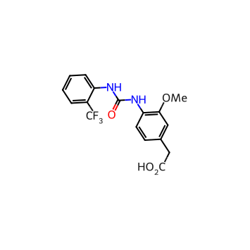 COc1cc(CC(=O)O)ccc1NC(=O)Nc1ccccc1C(F)(F)F